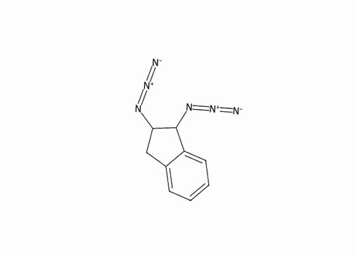 [N-]=[N+]=NC1Cc2ccccc2C1N=[N+]=[N-]